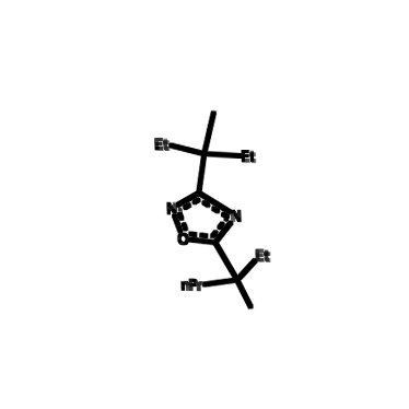 CCCC(C)(CC)c1nc(C(C)(CC)CC)no1